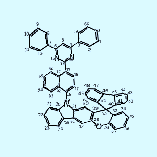 c1ccc(-c2cc(-c3ccccc3)nc(-c3ccc(-n4c5ccccc5c5cc6c(cc54)C4(c5ccccc5O6)c5ccccc5-c5ccccc54)c4ccccc34)n2)cc1